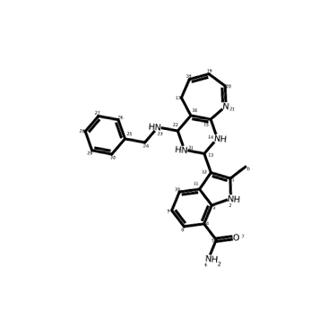 Cc1[nH]c2c(C(N)=O)cccc2c1C1NC2=C(CC=CC=N2)C(NCc2ccccc2)N1